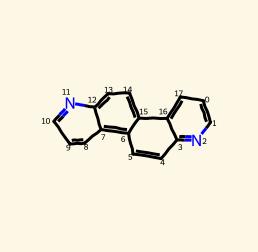 c1cnc2ccc3c4cccnc4ccc3c2c1